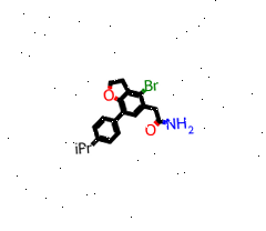 CC(C)c1ccc(-c2cc(CC(N)=O)c(Br)c3c2OCC3)cc1